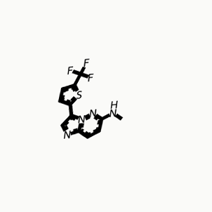 CNc1ccc2ncc(-c3ccc(C(F)(F)F)s3)n2n1